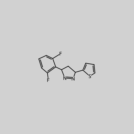 Fc1cccc(F)c1C1CC(c2cccs2)N=N1